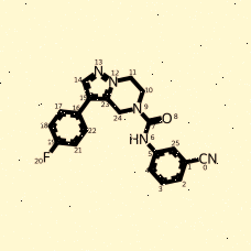 N#Cc1cccc(NC(=O)N2CCn3ncc(-c4ccc(F)cc4)c3C2)c1